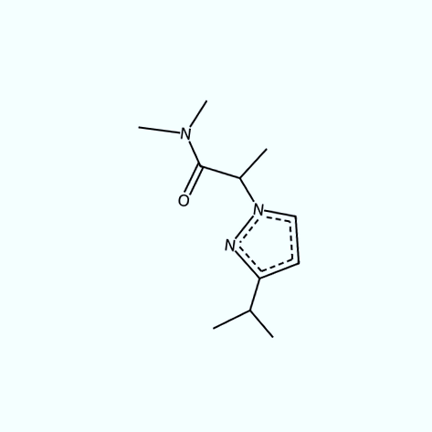 CC(C)c1ccn(C(C)C(=O)N(C)C)n1